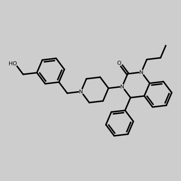 CCCN1C(=O)N(C2CCN(Cc3cccc(CO)c3)CC2)C(c2ccccc2)c2ccccc21